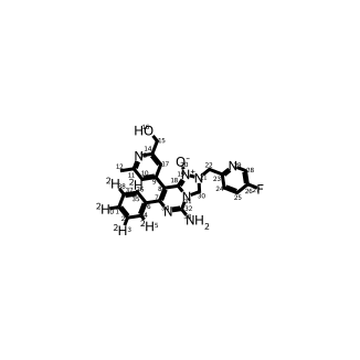 [2H]c1c([2H])c([2H])c(C2=C(c3cc(C)nc(CO)c3)C3=[N+]([O-])N(Cc4ccc(F)cn4)CN3C(N)=N2)c([2H])c1[2H]